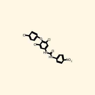 O=C(Nc1ccc([N+](=O)[O-])cc1)Nc1cc(Cl)c(Oc2ccc(Cl)cc2)c(Cl)c1